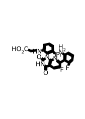 CC(C)c1cccc(NCCC(=O)O)c1-n1c(=O)[nH]c(=O)c2cc(F)c(-c3c(N)cccc3F)nc21